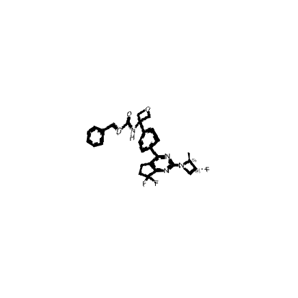 C[C@H]1[C@H](F)CN1c1nc(-c2ccc(C3(NC(=O)OCc4ccccc4)COC3)cc2)c2c(n1)C(F)(F)CC2